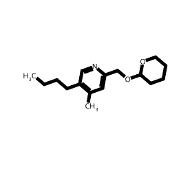 CCCCc1cnc(COC2CCCCO2)cc1C